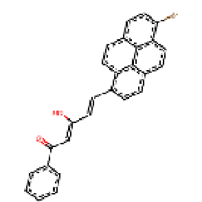 O=C(C=C(O)C=Cc1ccc2ccc3c(Br)ccc4ccc1c2c43)c1ccccc1